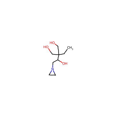 CCC(CO)(CO)C(O)CN1CC1